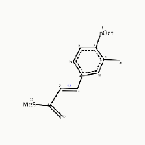 C=C(/C=C/c1ccc(CCCCCCCC)c(C)c1)SC